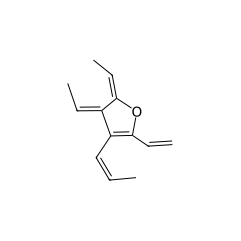 C=Cc1oc(=C/C)/c(=C\C)c1/C=C\C